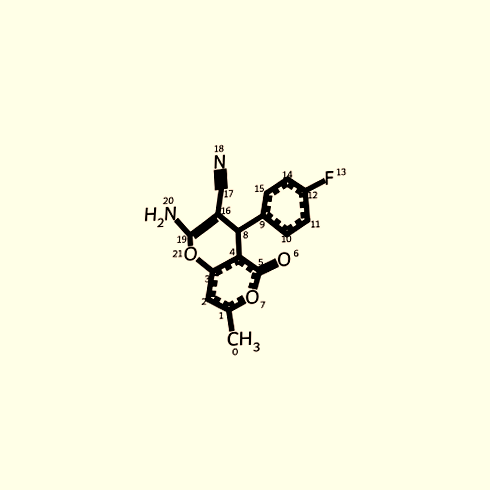 Cc1cc2c(c(=O)o1)C(c1ccc(F)cc1)C(C#N)=C(N)O2